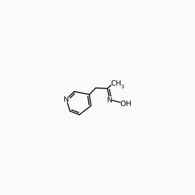 CC(Cc1cccnc1)=NO